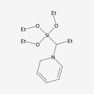 CCO[Si](OCC)(OCC)C(CC)N1C=CC=CC1